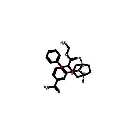 CCOC(=O)C(Cc1ccccc1)CN1[C@@H]2CC[C@H]1C[C@@H](c1cccc(C(N)=O)c1)C2